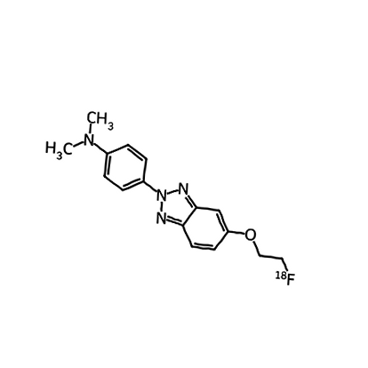 CN(C)c1ccc(-n2nc3ccc(OCC[18F])cc3n2)cc1